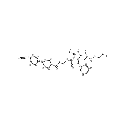 CCCCOC(=O)C[C@@]1(Cc2ccccc2)COC(=O)N1C(=O)CCCOc1ccc(-c2ccc(C#N)cc2)cc1